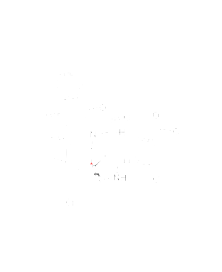 COC(=O)c1cc(Cl)cc([C@H]2[C@@H]3C(=O)O[C@@H](c4ccccc4)[C@@H](c4ccccc4)N3C3(CCC(C)(C)CC3)[C@@]23C(=O)Nc2cc(Cl)ccc23)c1